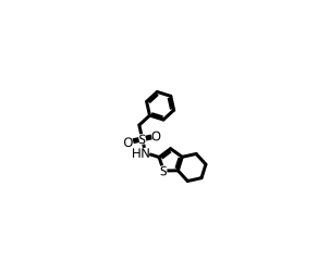 O=S(=O)(Cc1ccccc1)Nc1cc2c(s1)CCCC2